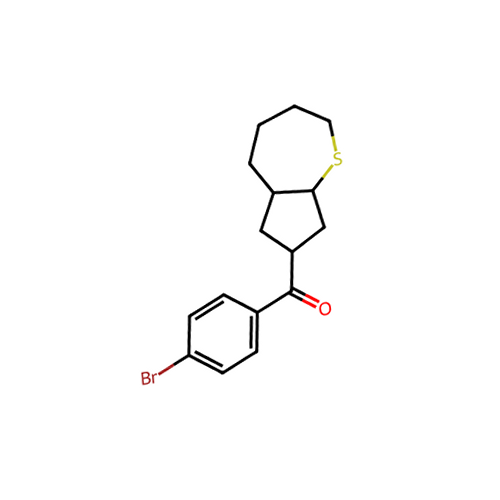 O=C(c1ccc(Br)cc1)C1CC2CCCCSC2C1